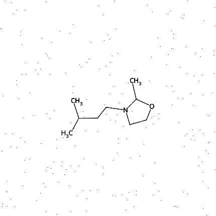 CC(C)CCN1CCOC1C